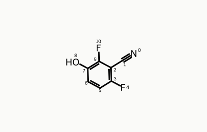 N#Cc1c(F)ccc(O)c1F